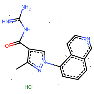 Cc1nn(-c2cccc3cnccc23)cc1C(=O)NC(=N)N.Cl